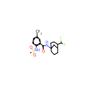 CS(=O)(=O)Nc1ccc(C(F)(F)F)cc1C(=O)NC12CCCC(C1)C(C(F)F)CC2